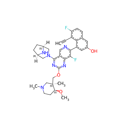 C#Cc1c(F)ccc2cc(O)cc(-c3ncc4c(N5C[C@H]6CC[C@@H](C5)N6)nc(OC[C@]5(C)CN(C)CC[C@@H]5OC)nc4c3F)c12